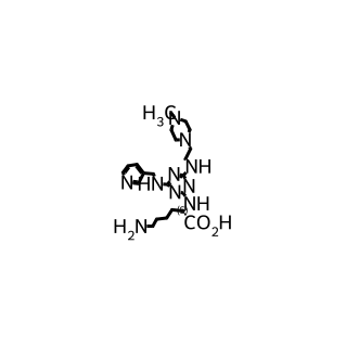 CN1CCN(CCNc2nc(NCc3cccnc3)nc(N[C@@H](CCCCN)C(=O)O)n2)CC1